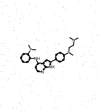 CN(C)CCN(C)c1ccc(-c2cc3c(Nc4ccccc4P(C)C)ccnc3[nH]2)cc1